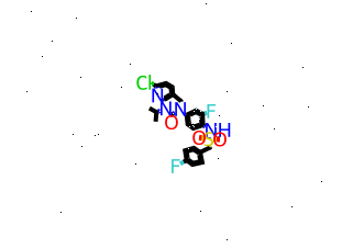 CC(C)N1C(=O)N(c2ccc(NS(=O)(=O)Cc3ccc(F)cc3)c(F)c2)Cc2ccc(Cl)nc21